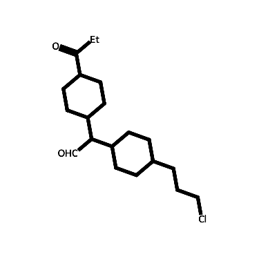 CCC(=O)C1CCC(C(C=O)C2CCC(CCCCl)CC2)CC1